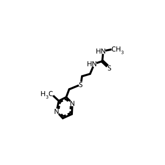 CNC(=S)NCCSCc1nccnc1C